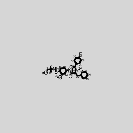 COCC(C)(C)NSc1ccc(NC(=O)C(Cc2ccccc2)N(C)C(=O)c2ccc(F)cc2)cc1OC